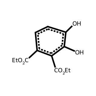 CCOC(=O)c1ccc(O)c(O)c1C(=O)OCC